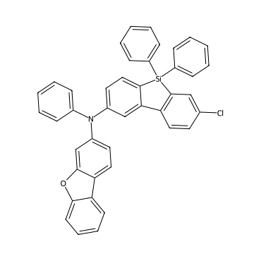 Clc1ccc2c(c1)[Si](c1ccccc1)(c1ccccc1)c1ccc(N(c3ccccc3)c3ccc4c(c3)oc3ccccc34)cc1-2